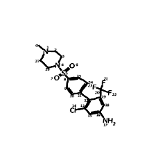 CN1CCN(S(=O)(=O)c2ccc(-c3c(Cl)cc(N)cc3C(F)(F)F)cc2)CC1